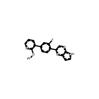 CC(C)Oc1ncccc1-c1ccc(-c2cnc3[nH]ccc3n2)c(F)c1